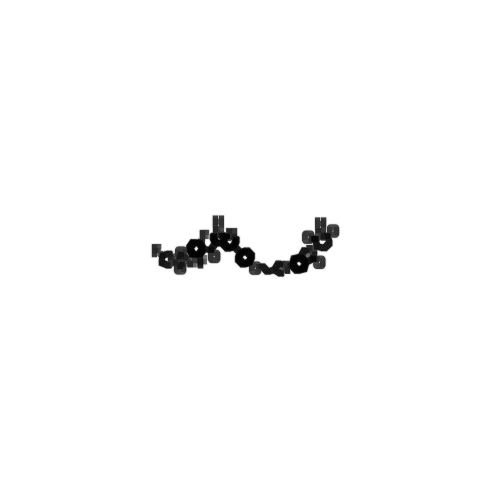 O=C1CCC(N2Cc3cc(N4CC(CCOc5ccc(-c6cnc7[nH]cc(C(=O)c8c(F)ccc(NS(=O)(=O)N9CC[C@@H](F)C9)c8F)c7c6)cc5)C4)ccc3C2=O)C(=O)N1